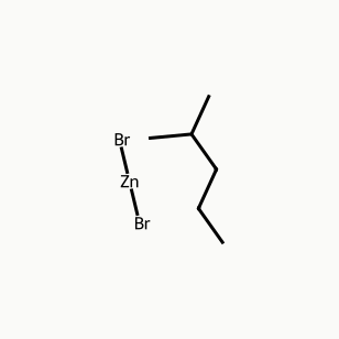 CCCC(C)C.[Br][Zn][Br]